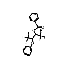 O=C(OC(C(Oc1ccccc1)C(F)(F)F)C(F)(F)F)c1ccccc1